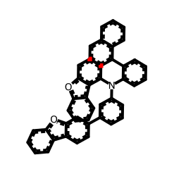 c1cc(-c2ccc3c(c2)oc2ccccc23)cc(N(c2ccccc2-c2cccc3ccccc23)c2cccc3oc4ccccc4c23)c1